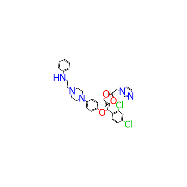 Clc1ccc(C(Oc2ccc(N3CCN(CCNc4ccccc4)CC3)cc2)[C@H]2CO[C@@H](Cn3ccnc3)O2)c(Cl)c1